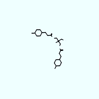 CC1CCC(CCC(=O)OCC(C)(CO)COC(=O)CCC2CCC(C)CC2)CC1